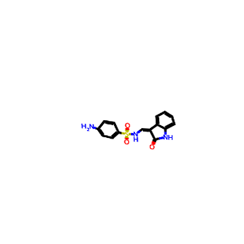 Nc1ccc(S(=O)(=O)NC=C2C(=O)Nc3ccccc32)cc1